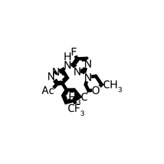 CC(=O)c1nnc(Nc2nc(N3C[C@@H](C)O[C@@H](C)C3)ncc2F)cc1-c1ccc(C(F)(F)F)cc1